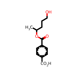 CC(CCCO)OC(=O)c1ccc(C(=O)O)cc1